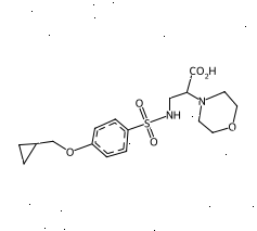 O=C(O)C(CNS(=O)(=O)c1ccc(OCC2CC2)cc1)N1CCOCC1